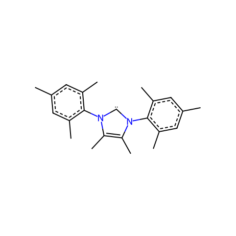 CC1=C(C)N(c2c(C)cc(C)cc2C)[C]N1c1c(C)cc(C)cc1C